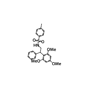 COc1cc(OC)c(C(CNS(=O)(=O)c2ccc(C)cc2)c2ccccc2)c(OC)c1